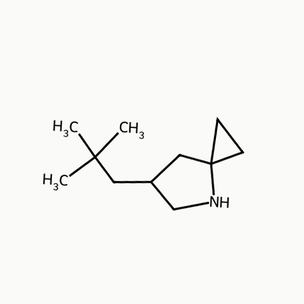 CC(C)(C)CC1CNC2(CC2)C1